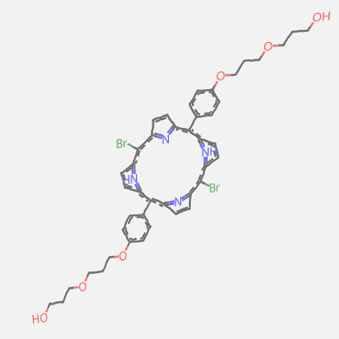 OCCCOCCCOc1ccc(-c2c3nc(c(Br)c4ccc([nH]4)c(-c4ccc(OCCCOCCCO)cc4)c4nc(c(Br)c5ccc2[nH]5)C=C4)C=C3)cc1